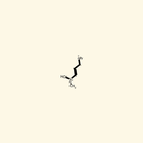 CCCCC=C[SiH](C)O